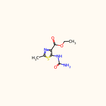 CCOC(=O)c1nc(C)sc1NC(N)=O